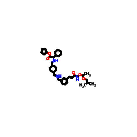 CC(C)COC(C)ONC(=O)/C=C/c1cccc(CNCC2CCC(CN[C@H](C(=O)OC3CCCC3)C3CCCCC3)CC2)c1